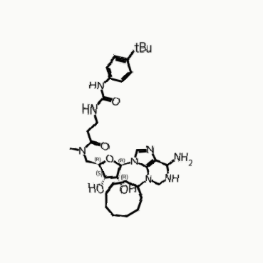 CN(C[C@H]1O[C@@H](n2cnc3c2N(C2CCCCCCCC2)CNC3N)[C@H](O)[C@@H]1O)C(=O)CCNC(=O)Nc1ccc(C(C)(C)C)cc1